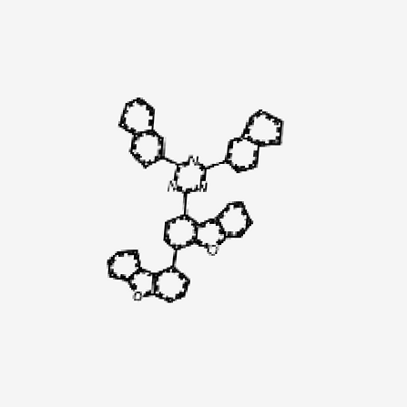 c1ccc2cc(-c3nc(-c4ccc5ccccc5c4)nc(-c4ccc(-c5cccc6oc7ccccc7c56)c5oc6ccccc6c45)n3)ccc2c1